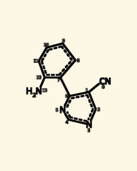 N#Cc1cncnc1-c1ccccc1N